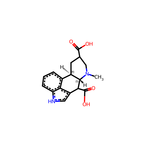 CN1CC(C(=O)O)C[C@@H]2c3cccc4[nH]cc(c34)C(C(=O)O)[C@H]21